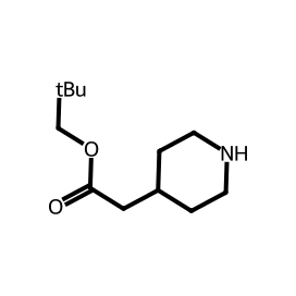 CC(C)(C)COC(=O)CC1CCNCC1